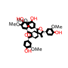 C=C1[C@@H](c2ccc(O)c(OC)c2)O[C@@H](c2ccc(OC)c(O)c2)[C@]12CC[C@@]13O[C@]1(C2)[C@@H](c1ccc(O)c(OC)c1)O[C@H]3c1ccc(O)c(OC)c1